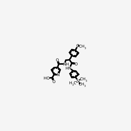 COc1ccc(C(CNC(=O)c2ccc(C(=O)O)nc2)C(=O)Nc2ccc([Si](C)(C)C)cc2)cc1